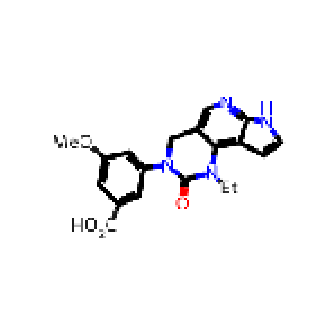 CCN1C(=O)N(c2cc(OC)cc(C(=O)O)c2)Cc2cnc3[nH]ccc3c21